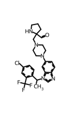 CC(c1ccc(Cl)cc1C(F)(F)F)n1cnc2ccc(N3CCN(CC4(C=O)CCCN4)CC3)cc21